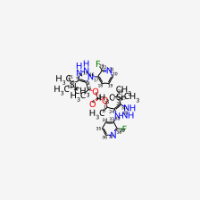 CC(OC(=O)OC(C)C1=C([Si](C)(C)C)NNN1c1cccnc1F)C1=C([Si](C)(C)C)NNN1c1cccnc1F